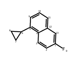 Fc1ccc2c(C3CC3)cccc2c1